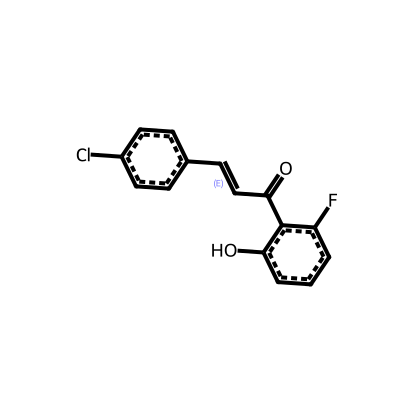 O=C(/C=C/c1ccc(Cl)cc1)c1c(O)cccc1F